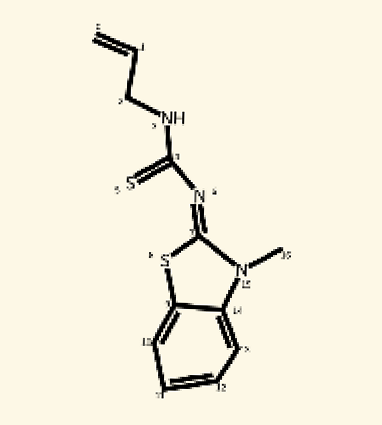 C=CCNC(=S)/N=c1\sc2ccccc2n1C